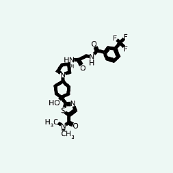 CN(C)C(=O)c1cnc(C2(O)CCC(N3CC[C@@H](NC(=O)CNC(=O)c4cccc(C(F)(F)F)c4)C3)CC2)s1